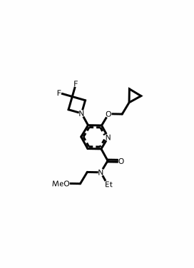 CCN(CCOC)C(=O)c1ccc(N2CC(F)(F)C2)c(OCC2CC2)n1